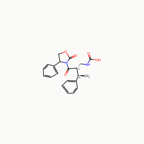 C[C@@H](c1ccccc1)[C@@H](CNC(=O)O)C(=O)N1C(=O)OCC1c1ccccc1